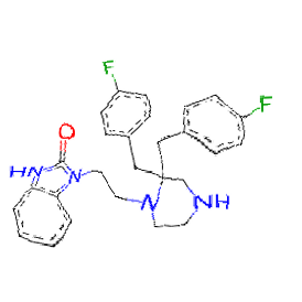 O=c1[nH]c2ccccc2n1CCN1CCNCC1(Cc1ccc(F)cc1)Cc1ccc(F)cc1